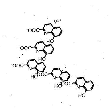 O=C([O-])c1ccc2cccc(O)c2n1.O=C([O-])c1ccc2cccc(O)c2n1.O=C([O-])c1ccc2cccc(O)c2n1.O=C([O-])c1ccc2cccc(O)c2n1.O=C([O-])c1ccc2cccc(O)c2n1.[V+5]